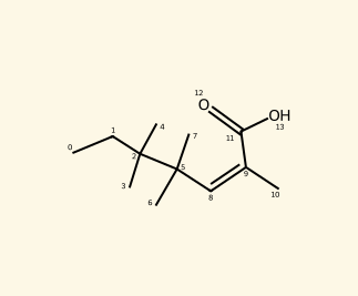 CCC(C)(C)C(C)(C)C=C(C)C(=O)O